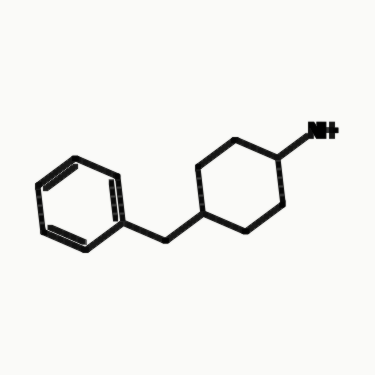 [NH]C1CCC(Cc2ccccc2)CC1